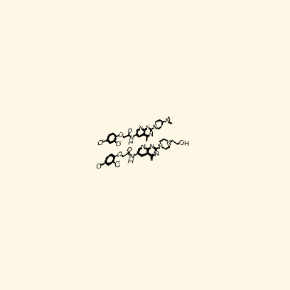 Cc1nc(N2CCC(N(C)C)CC2)nc2ncc(NC(=O)COc3ccc(Cl)cc3Cl)cc12.Cc1nc(N2CCN(CCO)CC2)nc2ncc(NC(=O)COc3ccc(Cl)cc3Cl)cc12